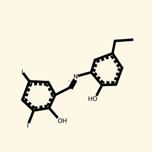 CCc1ccc(O)c(/N=C/c2cc(I)cc(I)c2O)c1